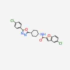 O=C(N[C@H]1CC[C@H](c2nnc(-c3ccc(Cl)cc3)o2)CC1)c1cc2cc(Cl)ccc2o1